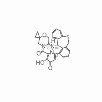 O=C1c2c(O)c(=O)ccn2N([C@@H]2c3ccccc3SCc3cccc(Cl)c32)[C@@H]2COC3(CC3)CN12